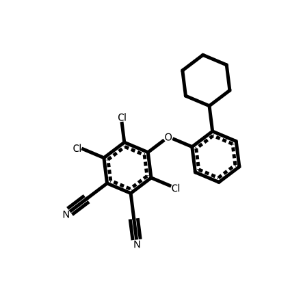 N#Cc1c(Cl)c(Cl)c(Oc2ccccc2C2CCCCC2)c(Cl)c1C#N